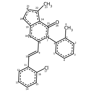 Cc1ccccc1-n1c(C=Cc2ccccc2Cl)nc2csc(C)c2c1=O